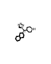 c1ccc2cc([C@H](C3CCNCC3)n3cnnn3)ccc2c1